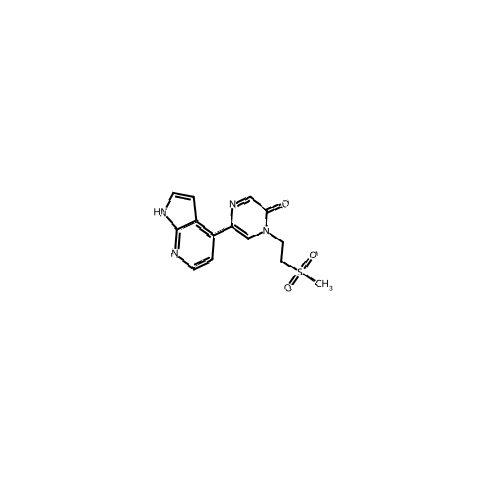 CS(=O)(=O)CCn1cc(-c2ccnc3[nH]ccc23)ncc1=O